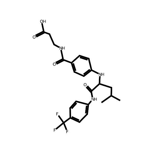 CC(C)CC(Nc1ccc(C(=O)NCCC(=O)O)cc1)C(=O)Nc1ccc(C(F)(F)F)cc1